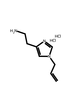 C=CCn1cnc(CCN)c1.Cl.Cl